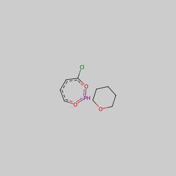 C1CCOCC1.Clc1ccco[pH]o1